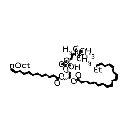 CC/C=C\C/C=C\C/C=C\C/C=C\CCCCCCC(=O)O[C@H](COC(=O)CCCCCCCCC/C=C\CCCCCCCC)COP(=O)(O)OCC[N+](C)(C)C